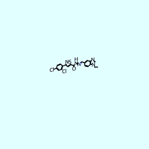 CCn1cnc2cc(/C=N/NC(=O)c3cc(-c4ccc(Cl)cc4Cl)ns3)ccc21